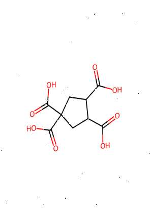 O=C(O)C1CC(C(=O)O)(C(=O)O)CC1C(=O)O